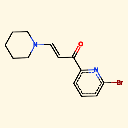 O=C(C=CN1CCCCC1)c1cccc(Br)n1